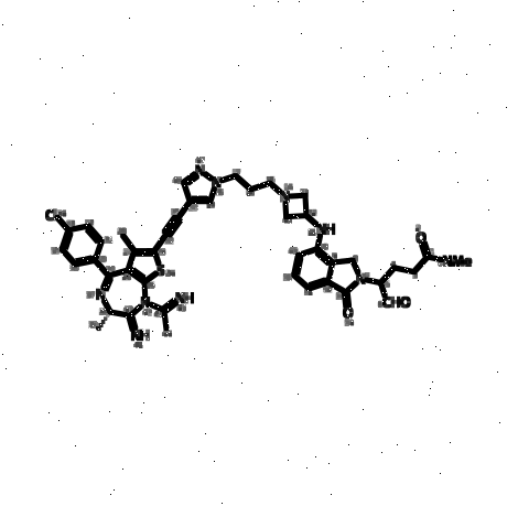 CNC(=O)CCC(C=O)N1Cc2c(NC3CN(CCCn4cc(C#Cc5sc6c(c5C)C(c5ccc(Cl)cc5)=N[C@@H](C)C(=N)N6C(C)=N)cn4)C3)cccc2C1=O